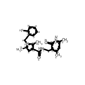 Cc1cc(C)c(CNC(=O)c2cc(C)n(Cc3ccccc3F)c2C)c(=O)[nH]1